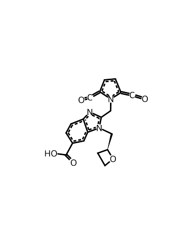 O=C=c1ccc(=C=O)n1Cc1nc2ccc(C(=O)O)cc2n1C[C@@H]1CCO1